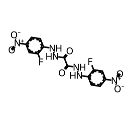 O=C(NNc1ccc([N+](=O)[O-])cc1F)C(=O)NNc1ccc([N+](=O)[O-])cc1F